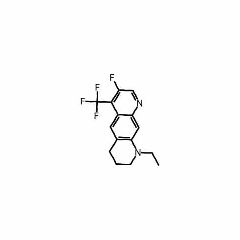 CCN1CCCc2cc3c(C(F)(F)F)c(F)cnc3cc21